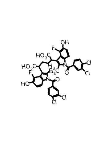 Cc1c(C(CCC(C(=O)O)c2c(C)n(C(=O)c3ccc(Cl)c(Cl)c3)c3ccc(O)c(F)c23)C(=O)O)c2c(F)c(O)ccc2n1C(=O)c1ccc(Cl)c(Cl)c1